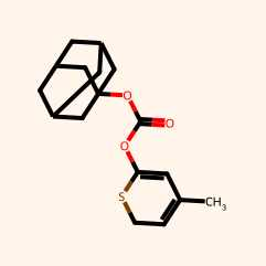 CC1=CCSC(OC(=O)OC23CC4CC(CC(C4)C2)C3)=C1